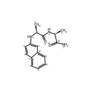 C[C@H](NC(=O)[C@H](C)Nc1ccc2ccccc2c1)C(N)=O